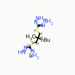 CCCCC(C)(CSC(N=N)=NN)CSC(N=N)=NN